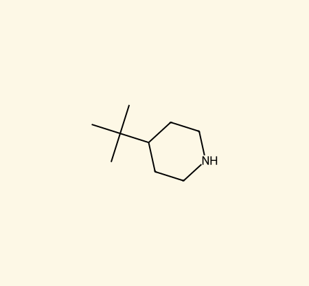 CC(C)(C)C1CCNCC1